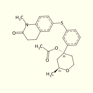 CC(=O)O[C@]1(c2cccc(Sc3ccc4c(c3)CCC(=O)N4C)c2)CCO[C@@H](C)C1